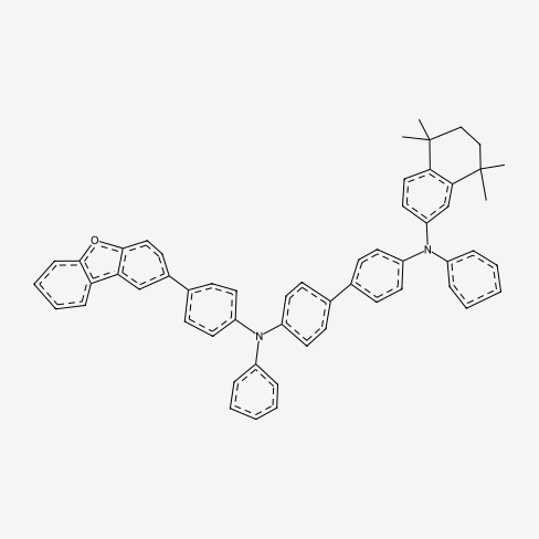 CC1(C)CCC(C)(C)c2cc(N(c3ccccc3)c3ccc(-c4ccc(N(c5ccccc5)c5ccc(-c6ccc7oc8ccccc8c7c6)cc5)cc4)cc3)ccc21